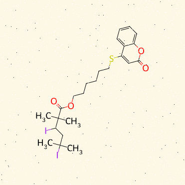 CC(C)(I)CC(I)C(C)(C)C(=O)OCCCCCCSc1cc(=O)oc2ccccc12